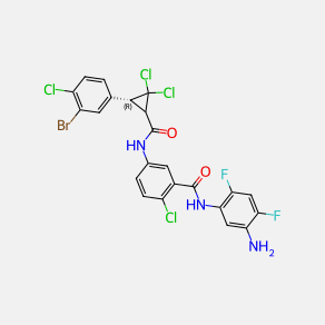 Nc1cc(NC(=O)c2cc(NC(=O)C3[C@H](c4ccc(Cl)c(Br)c4)C3(Cl)Cl)ccc2Cl)c(F)cc1F